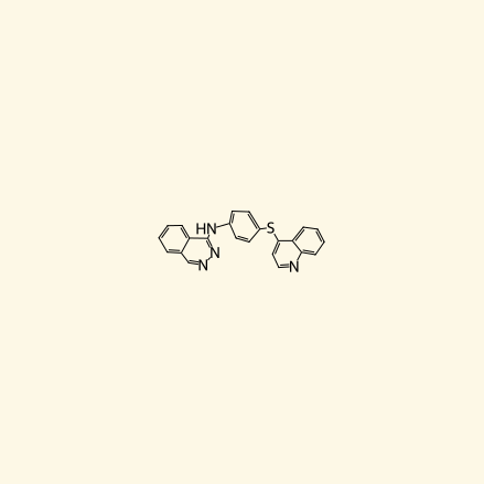 c1ccc2c(Nc3ccc(Sc4ccnc5ccccc45)cc3)nncc2c1